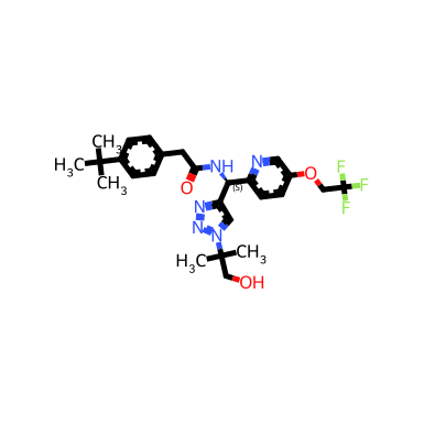 CC(C)(C)c1ccc(CC(=O)N[C@@H](c2ccc(OCC(F)(F)F)cn2)c2cn(C(C)(C)CO)nn2)cc1